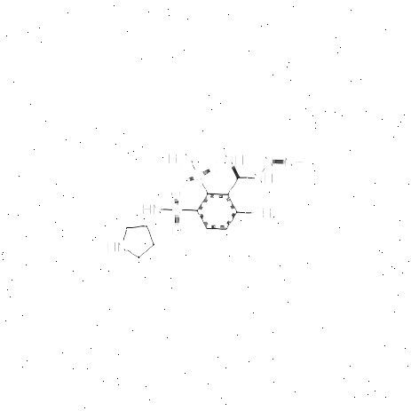 Cc1ccc(S(=O)(=O)N[C@@H]2CCNC2)c(S(N)(=O)=O)c1C(=N)NN=N